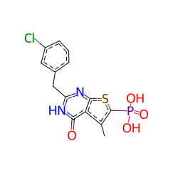 Cc1c(P(=O)(O)O)sc2nc(Cc3cccc(Cl)c3)[nH]c(=O)c12